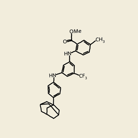 COC(=O)c1cc(C)ccc1Nc1cc(Nc2ccc(C34CC5CC(CC(C5)C3)C4)cc2)cc(C(F)(F)F)c1